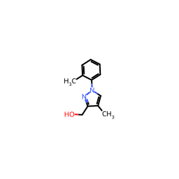 Cc1ccccc1-n1cc(C)c(CO)n1